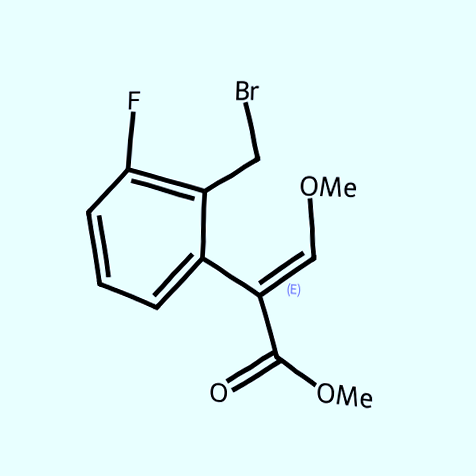 CO/C=C(/C(=O)OC)c1cccc(F)c1CBr